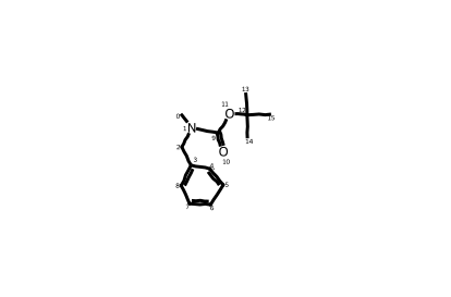 CN(Cc1[c]cccc1)C(=O)OC(C)(C)C